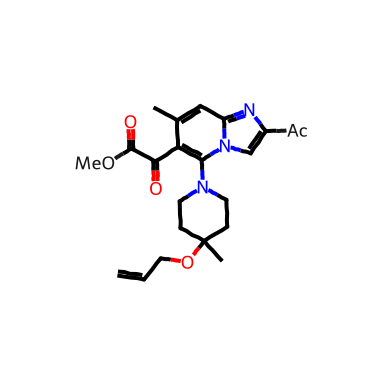 C=CCOC1(C)CCN(c2c(C(=O)C(=O)OC)c(C)cc3nc(C(C)=O)cn23)CC1